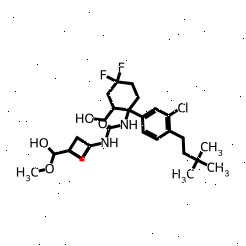 COC(O)C12CC(NC(=O)NC3(c4ccc(CCC(C)(C)C)c(Cl)c4)CCC(F)(F)CC3CO)(C1)C2